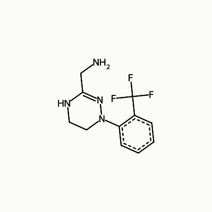 NCC1=NN(c2ccccc2C(F)(F)F)CCN1